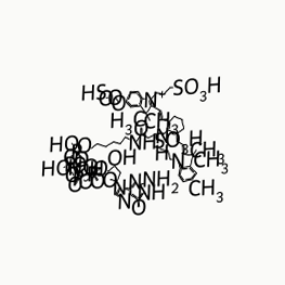 Cc1ccc2c(c1)C(C)(C)/C(=C/C=C1\CCCC(/C=C/C3=[N+](CCCS(=O)(=O)O)c4ccc(OOOS)cc4C3(C)C)=C1NCCC(=O)NCCCCCCOP(=O)(O)OP(=O)(O)OP(=O)(O)OP(=O)(O)O[C@H]1O[C@@H](n3cnc4c(=O)[nH]c(N)nc43)CC1O)N2CCCS(=O)(=O)O